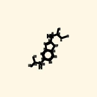 CCC(C)NC1=Cc2cc(NC(C)C)ccc2C1